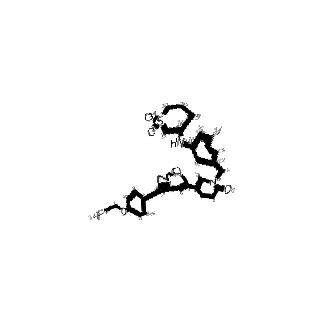 O=c1ccc(-c2cc(-c3ccc(OCF)cc3)no2)cn1Cc1cccc(NC2CCCS(=O)(=O)C2)c1